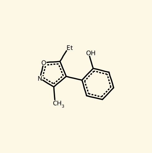 CCc1onc(C)c1-c1ccccc1O